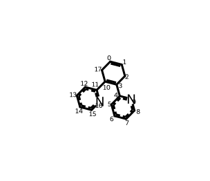 C1=CCC(c2ccccn2)=C(c2ccccn2)C1